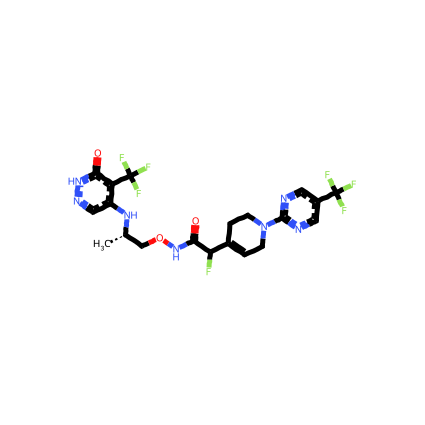 C[C@@H](CONC(=O)C(F)C1=CCN(c2ncc(C(F)(F)F)cn2)CC1)Nc1cn[nH]c(=O)c1C(F)(F)F